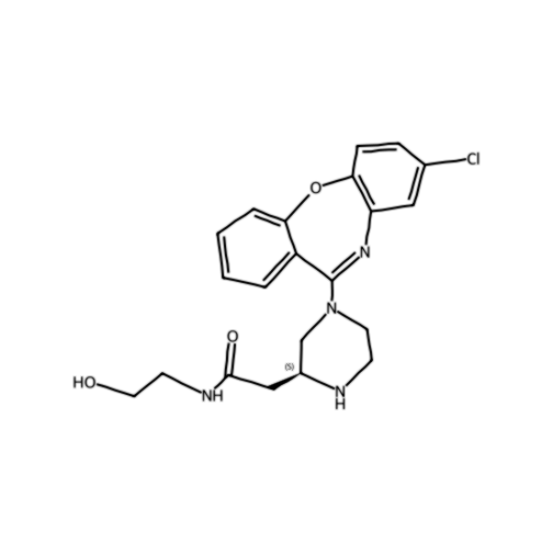 O=C(C[C@H]1CN(C2=Nc3cc(Cl)ccc3Oc3ccccc32)CCN1)NCCO